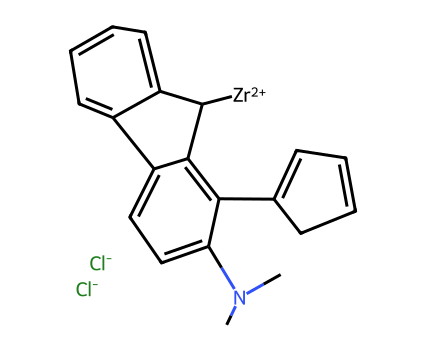 CN(C)c1ccc2c(c1C1=CC=CC1)[CH]([Zr+2])c1ccccc1-2.[Cl-].[Cl-]